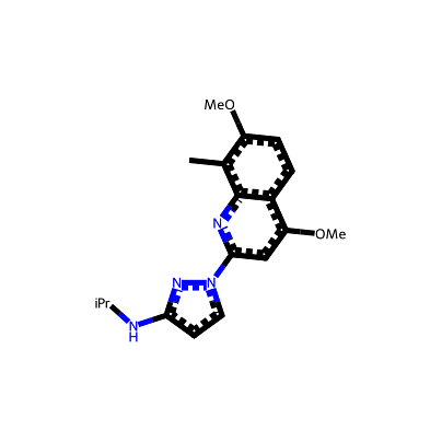 COc1ccc2c(OC)cc(-n3ccc(NC(C)C)n3)nc2c1C